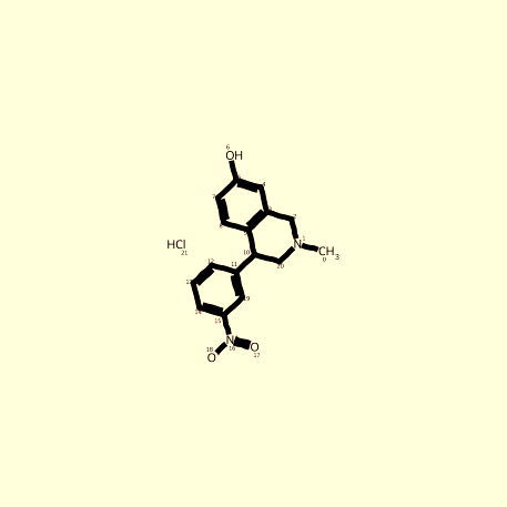 CN1Cc2cc(O)ccc2C(c2cccc([N+](=O)[O-])c2)C1.Cl